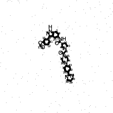 O=C(Nc1ccc2[nH]nc(-c3ccc4c(c3)OCO4)c2c1)[C@@H]1CCN(CC(=O)N2CCN(c3ccc(-c4ncccn4)cc3)CC2)C1